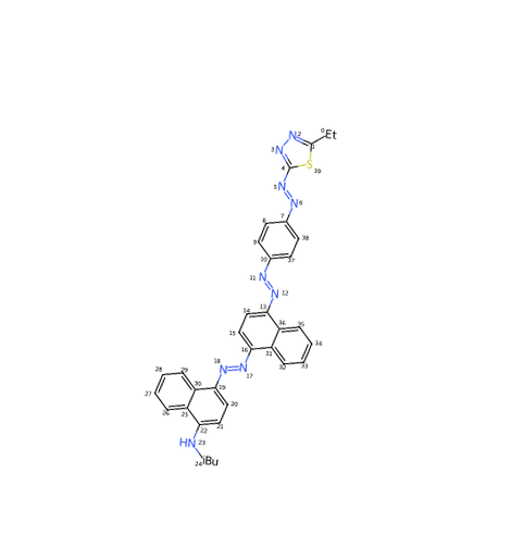 CCc1nnc(/N=N/c2ccc(/N=N/c3ccc(/N=N/c4ccc(NC(C)CC)c5ccccc45)c4ccccc34)cc2)s1